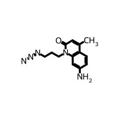 Cc1cc(=O)n(CCCN=[N+]=[N-])c2cc(N)ccc12